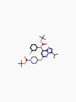 CC(C)c1cnc2c(N(C(=O)OC(C)(C)C)c3cccc(F)c3)cc(OC3CCN(C(=O)OC(C)(C)C)CC3)nn12